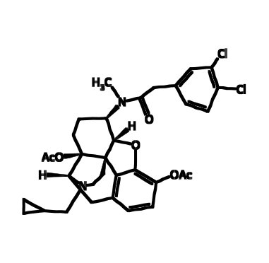 CC(=O)Oc1ccc2c3c1O[C@H]1[C@H](N(C)C(=O)Cc4ccc(Cl)c(Cl)c4)CC[C@@]4(OC(C)=O)[C@@H](C2)N(CC2CC2)CC[C@]314